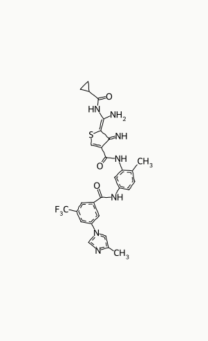 Cc1cn(-c2cc(C(=O)Nc3ccc(C)c(NC(=O)C4=CS/C(=C(/N)NC(=O)C5CC5)C4=N)c3)cc(C(F)(F)F)c2)cn1